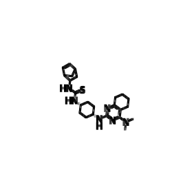 CN(C)c1nc(N[C@H]2CC[C@@H](NC(=S)NC3CC4C=CC3C4)CC2)nc2c1CCCC2